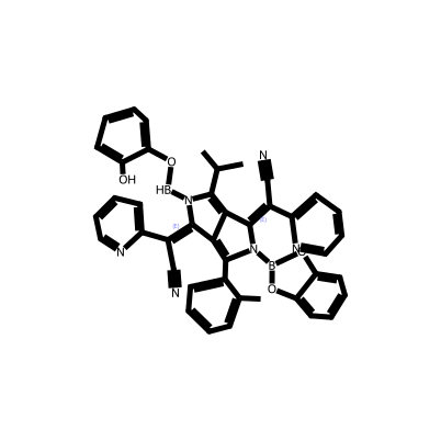 Cc1ccccc1-c1c2/c(=C(\C#N)c3ccccn3)n(BOc3ccccc3O)c(C(C)C)c2/c(=C(\C#N)c2ccccn2)n1B1Oc2ccccc2O1